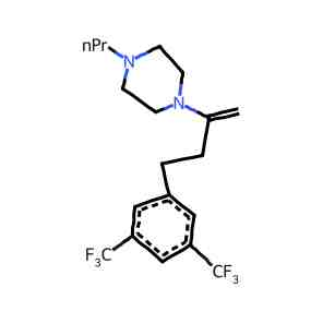 C=C(CCc1cc(C(F)(F)F)cc(C(F)(F)F)c1)N1CCN(CCC)CC1